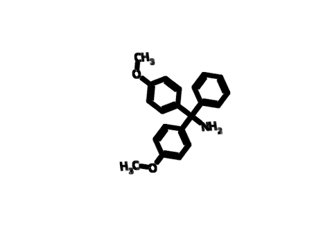 COc1ccc(C(N)(c2ccccc2)c2ccc(OC)cc2)cc1